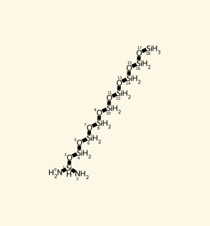 N[SiH](N)O[SiH2]O[SiH2]O[SiH2]O[SiH2]O[SiH2]O[SiH2]O[SiH2]O[SiH3]